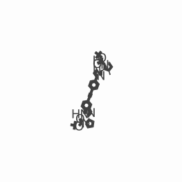 C[C@@H]1CCN(C(=O)OC(C)(C)C)[C@@H]1c1nc(-c2ccc(C#Cc3ccc4[nH]c([C@@H]5CCCN5C(=O)OC(C)(C)C)nc4c3)cc2)c[nH]1